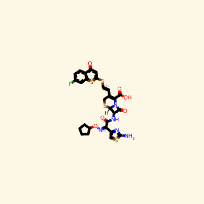 Nc1nc(/C(=N/OC2CCCC2)C(=O)NC2C(=O)N3C(C(=O)O)=C(/C=C/Sc4cc(=O)c5ccc(F)cc5s4)CS[C@H]23)cs1